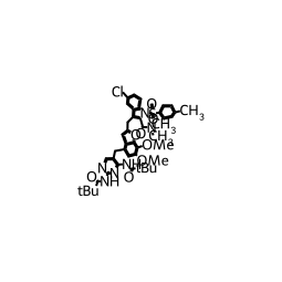 COc1cc(Cc2cnc(NC(=O)C(C)(C)C)nc2NC(=O)C(C)(C)C)c2cc(Cc3c(C(=O)N(C)C)n(S(=O)(=O)c4ccc(C)cc4)c4ccc(Cl)cc34)oc2c1OC